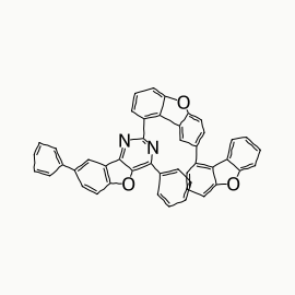 c1ccc(-c2ccc3oc4c(-c5ccccc5)nc(-c5cccc6oc7ccc(-c8cccc9oc%10ccccc%10c89)cc7c56)nc4c3c2)cc1